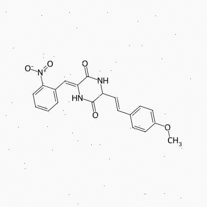 COc1ccc(C=CC2NC(=O)C(=Cc3ccccc3[N+](=O)[O-])NC2=O)cc1